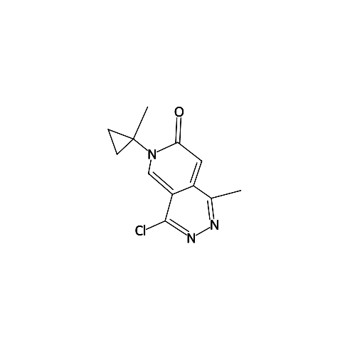 Cc1nnc(Cl)c2cn(C3(C)CC3)c(=O)cc12